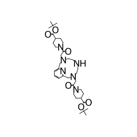 CC(C)(C)OC(=O)C1CCN(C(=O)CN2CCNCCN(CC(=O)N3CCC(C(=O)OC(C)(C)C)CC3)Cc3cccc(n3)C2)CC1